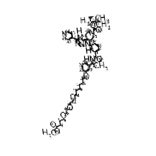 COC(=O)CCCOCCOCCOCCCCCCOc1cccc([C@@H](C)NC(=O)c2cccc(NC3(c4nnc(-c5ccncc5)[nH]4)CCN(C(=O)OC(C)(C)C)CC3)c2)c1